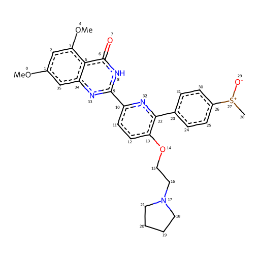 COc1cc(OC)c2c(=O)[nH]c(-c3ccc(OCCN4CCCC4)c(-c4ccc([S+](C)[O-])cc4)n3)nc2c1